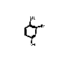 CC(C)c1cc(O)ccc1N